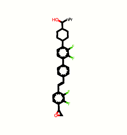 CCCC(O)C1CCC(c2ccc(-c3ccc(/C=C/c4ccc(C5CO5)c(F)c4F)cc3)c(F)c2F)CC1